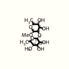 CO[C@H]1OC(C)[C@@H](O)C(O)C1O[C@H]1OC(C)[C@@H](O)C(O)C1O